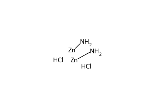 Cl.Cl.[NH2][Zn].[NH2][Zn]